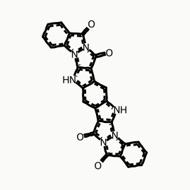 O=c1c2ccccc2n2c3[nH]c4cc5c(cc4c3c(=O)n12)[nH]c1c5c(=O)n2c(=O)c3ccccc3n12